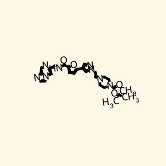 CC(C)(C)OC(=O)N1CCN(CCn2cc(-c3ccc(C(=O)NCc4cn5ccnc5cn4)o3)cn2)CC1